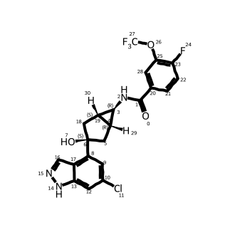 O=C(N[C@H]1[C@@H]2C[C@](O)(c3cc(Cl)cc4[nH]ncc34)C[C@@H]21)c1ccc(F)c(OC(F)(F)F)c1